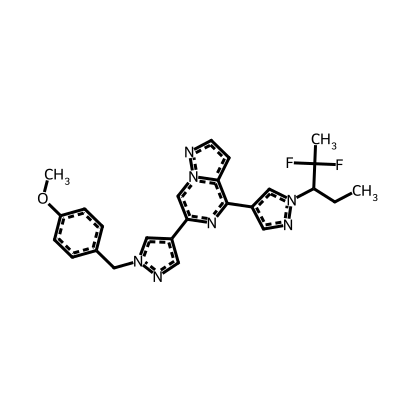 CCC(n1cc(-c2nc(-c3cnn(Cc4ccc(OC)cc4)c3)cn3nccc23)cn1)C(C)(F)F